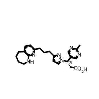 Cc1ncc([C@H](CC(=O)O)n2ccc(CCCc3ccc4c(n3)NCCCC4)n2)cn1